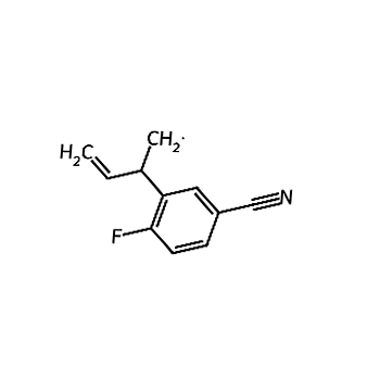 [CH2]C(C=C)c1cc(C#N)ccc1F